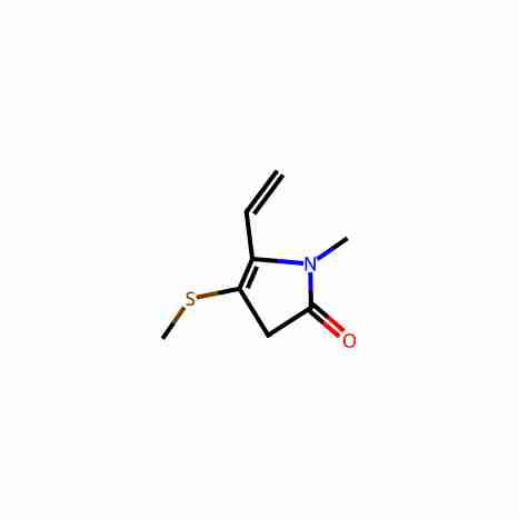 C=CC1=C(SC)CC(=O)N1C